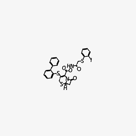 O=C(CSc1ccccc1I)NOC(=O)C1=C(Sc2ccccc2-c2ccccc2)CS[C@H]2CC(=O)N12